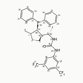 CC1CC[C@H]([C@H](C)NC(=O)Nc2cc(C(F)(F)F)cc(C(F)(F)F)c2)[C@@H]1P(c1ccccc1)c1ccccc1